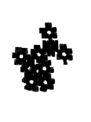 c1ccc(-c2nc(-c3ccccc3)nc(-c3ccc(-n4c5ccccc5c5ccc6c(c54)-c4ccccc4C6(c4ccccc4)c4ccccc4)cc3)n2)cc1